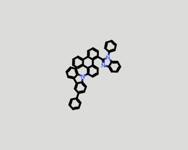 c1ccc(-c2ccc3c(c2)c2ccccc2n3-c2cccc3c4c(-c5nc6ccccc6n5-c5ccccc5)cccc4c4ccccc4c23)cc1